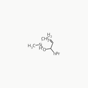 C=CC(CCC)O[SiH](C)C